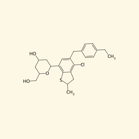 CCc1ccc(Cc2cc(C3CC(O)CC(CO)O3)c3c(c2Cl)CC(C)S3)cc1